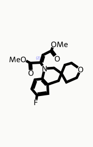 COC(=O)/C=C(/C(=O)OC)N1CC2(CCOCC2)Cc2cc(F)ccc21